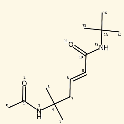 CC(=O)NC(C)(C)CC=CC(=O)NC(C)(C)C